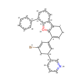 BrC1=CC(C2=CCCc3c2oc2c(-c4ccccc4)cccc32)=CC(c2cccnc2)C1